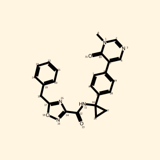 Cn1cncc(-c2ccc(C3(NC(=O)c4noc(Cc5ccccc5)n4)CC3)cc2)c1=O